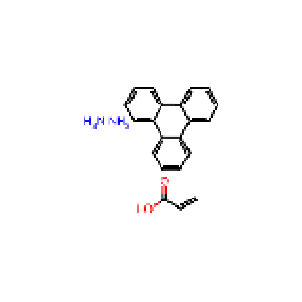 C=CC(=O)O.N.N.c1ccc2c(c1)c1ccccc1c1ccccc21